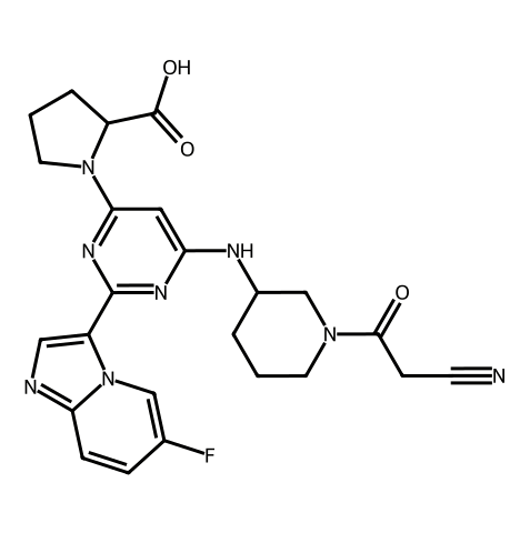 N#CCC(=O)N1CCCC(Nc2cc(N3CCCC3C(=O)O)nc(-c3cnc4ccc(F)cn34)n2)C1